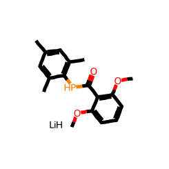 COc1cccc(OC)c1C(=O)Pc1c(C)cc(C)cc1C.[LiH]